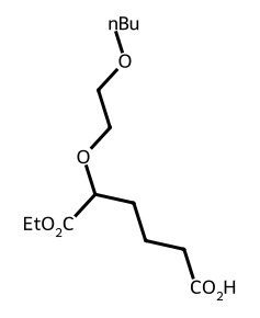 CCCCOCCOC(CCCC(=O)O)C(=O)OCC